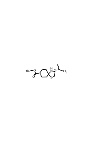 CC(C)(C)OC(=O)N1CCC2(CC1)N[C@H](C(N)=O)CS2